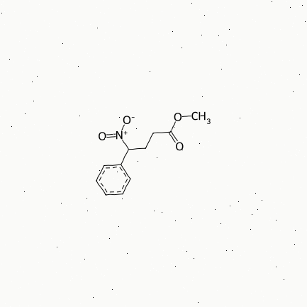 COC(=O)CCC(c1ccccc1)[N+](=O)[O-]